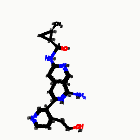 C[C@H]1C[C@@H]1C(=O)Nc1cc2cc(-c3cnccc3CCO)nc(N)c2cn1